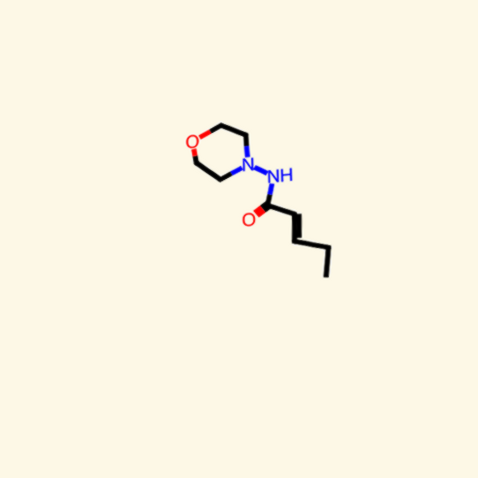 CCC=CC(=O)NN1CCOCC1